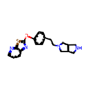 c1cnc2sc(Oc3ccc(CCN4CC5CNCC5C4)cc3)nc2c1